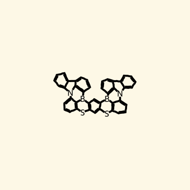 c1cc2c3c(c1)-n1c4ccccc4c4cccc(c41)B3c1cc3c(cc1S2)Sc1cccc2c1B3c1cccc3c4ccccc4n-2c13